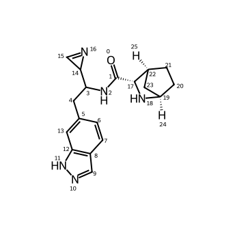 O=C(NC(Cc1ccc2cn[nH]c2c1)C1C=N1)[C@H]1N[C@@H]2CC[C@H]1C2